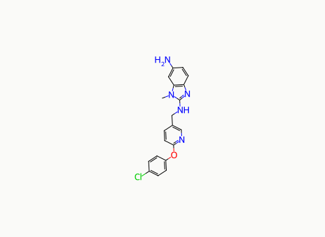 Cn1c(NCc2ccc(Oc3ccc(Cl)cc3)nc2)nc2ccc(N)cc21